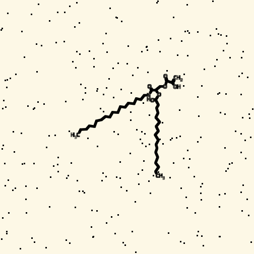 C=C(O)C(=O)OCC(OC(=O)CCCCCCCCCCCCCCCCC)C(=O)NCCCCCCCCCCCCCCCCCC